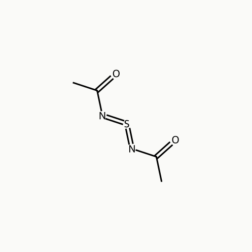 CC(=O)N=S=NC(C)=O